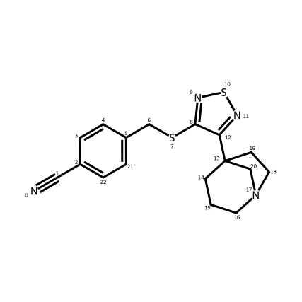 N#Cc1ccc(CSc2nsnc2C23CCCN(CC2)C3)cc1